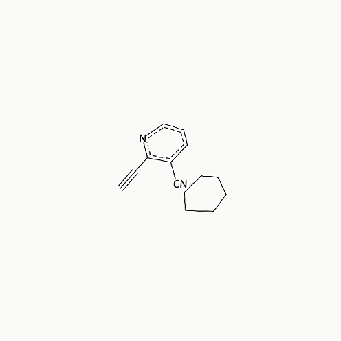 C#Cc1ncccc1C#N.C1CCCCC1